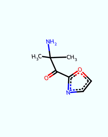 CC(C)(N)C(=O)c1ncco1